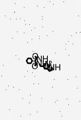 NC(=O)[C@@H](C(=O)NCc1cnc2[nH]ccc2c1)C1CCCCC1